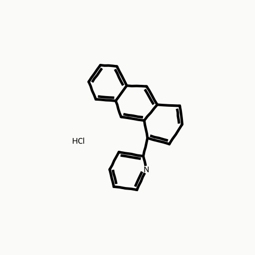 Cl.c1ccc(-c2cccc3cc4ccccc4cc23)nc1